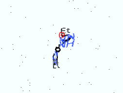 CCOc1cncc(NCc2ccc(N3CCN(CC)CC3)cc2)n1